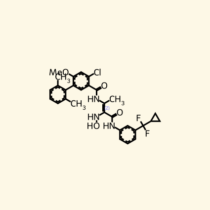 COc1cc(Cl)c(C(=O)N/C(C)=C(\NO)C(=O)Nc2cccc(C(F)(F)C3CC3)c2)cc1-c1c(C)cccc1C